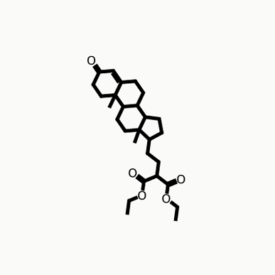 CCOC(=O)C(CCC1CCC2C3CCC4=CC(=O)CCC4(C)C3CCC12C)C(=O)OCC